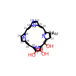 Oc1c(O)c2c(O)c3nc(cc4ccc(cc5nc(cc1n2O)C=C5)[nH]4)C=C3.[Au]